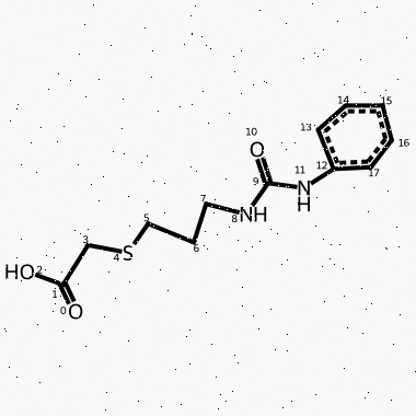 O=C(O)CSCCCNC(=O)Nc1ccccc1